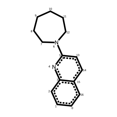 c1ccc2nc(N3CCCCCC3)ccc2c1